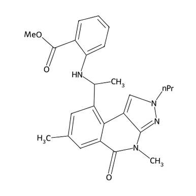 CCCn1cc2c3c(C(C)Nc4ccccc4C(=O)OC)cc(C)cc3c(=O)n(C)c2n1